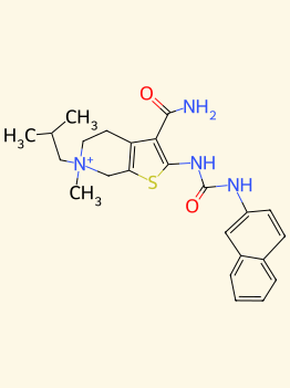 CC(C)C[N+]1(C)CCc2c(sc(NC(=O)Nc3ccc4ccccc4c3)c2C(N)=O)C1